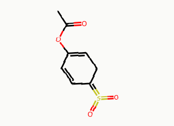 CC(=O)OC1=CCC(=S(=O)=O)C=C1